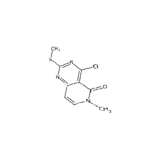 CSc1nc(Cl)c2c(=O)n(C)ccc2n1